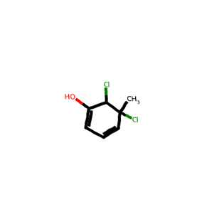 CC1(Cl)C=CC=C(O)C1Cl